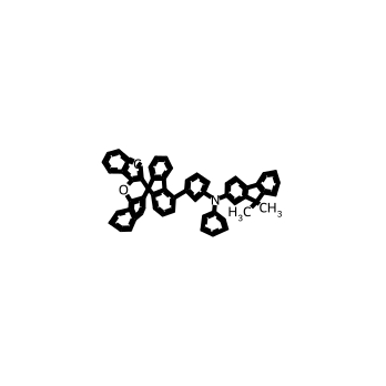 CC1(C)c2ccccc2-c2ccc(N(c3ccccc3)c3cccc(-c4cccc5c4-c4ccccc4C54c5ccc6ccccc6c5Oc5c4ccc4ccccc54)c3)cc21